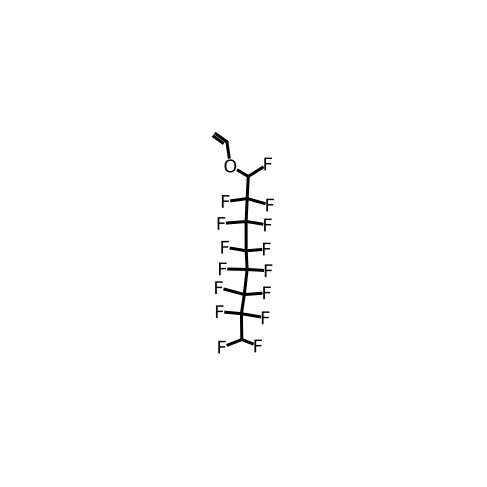 C=COC(F)C(F)(F)C(F)(F)C(F)(F)C(F)(F)C(F)(F)C(F)(F)C(F)F